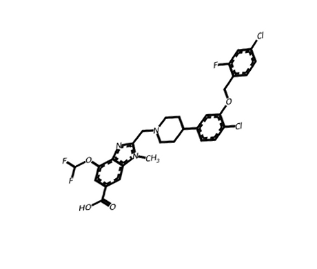 Cn1c(CN2CCC(c3ccc(Cl)c(OCc4ccc(Cl)cc4F)c3)CC2)nc2c(OC(F)F)cc(C(=O)O)cc21